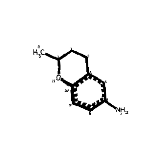 CC1CCc2cc(N)ccc2O1